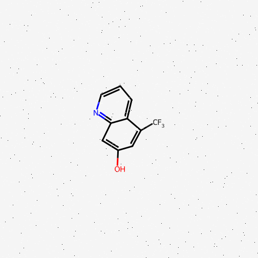 Oc1cc(C(F)(F)F)c2cccnc2c1